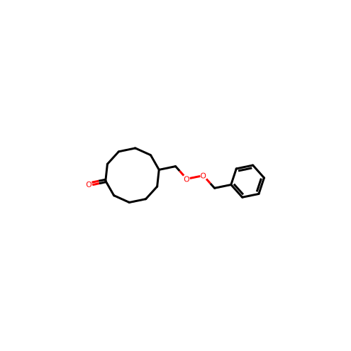 O=C1CCCCC(COOCc2ccccc2)CCCC1